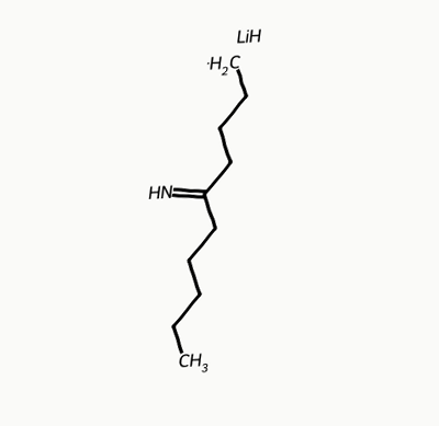 [CH2]CCCC(=N)CCCCC.[LiH]